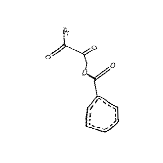 CC(C)C(=O)C(=O)OC(=O)c1ccccc1